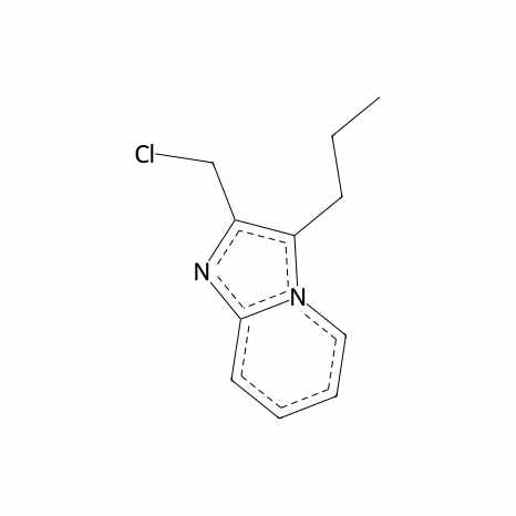 CCCc1c(CCl)nc2ccccn12